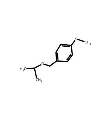 CSc1ccc(COC(C)C)cc1